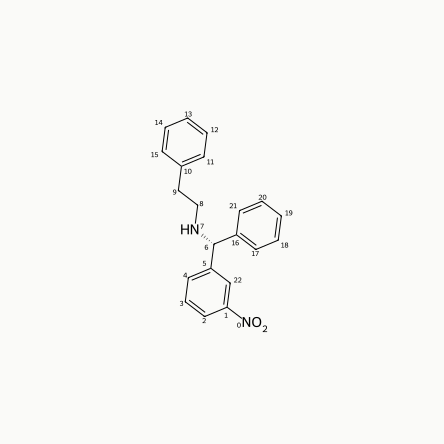 O=[N+]([O-])c1cccc([C@H](NCCc2ccccc2)c2ccccc2)c1